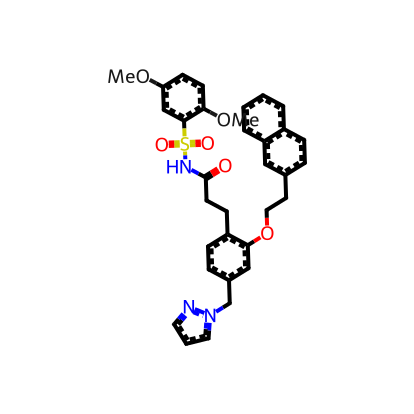 COc1ccc(OC)c(S(=O)(=O)NC(=O)CCc2ccc(Cn3cccn3)cc2OCCc2ccc3ccccc3c2)c1